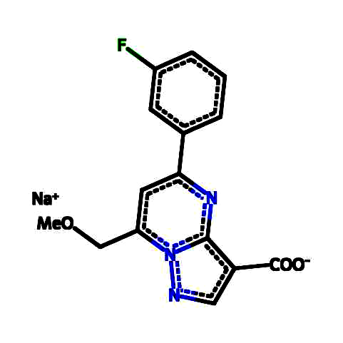 COCc1cc(-c2cccc(F)c2)nc2c(C(=O)[O-])cnn12.[Na+]